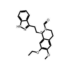 CCOc1cc2c(cc1OC)CCN(C=O)[C@@H]2CCc1n[nH]c2ccccc12